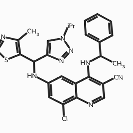 Cc1ncsc1C(Nc1cc(Cl)c2ncc(C#N)c(NC(C)c3ccccc3)c2c1)c1cn(C(C)C)nn1